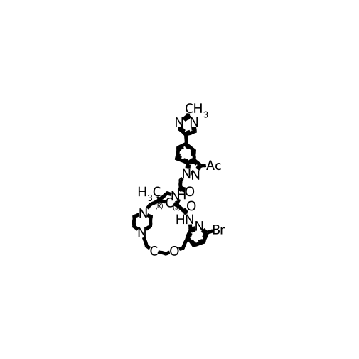 CC(=O)c1nn(CC(=O)N2C[C@]3(C)C[C@H]2C(=O)Nc2nc(Br)ccc2COCCCN2CCN(CC2)C3)c2ccc(-c3cnc(C)nc3)cc12